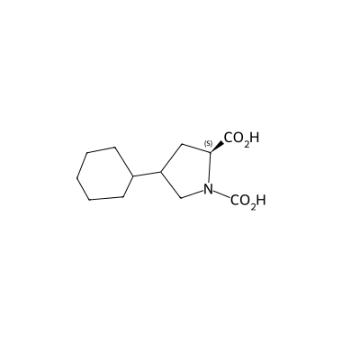 O=C(O)[C@@H]1CC(C2CCCCC2)CN1C(=O)O